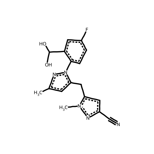 Cc1cc(Cc2cc(C#N)nn2C)n(-c2ccc(F)cc2C(O)O)n1